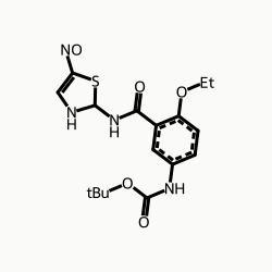 CCOc1ccc(NC(=O)OC(C)(C)C)cc1C(=O)NC1NC=C(N=O)S1